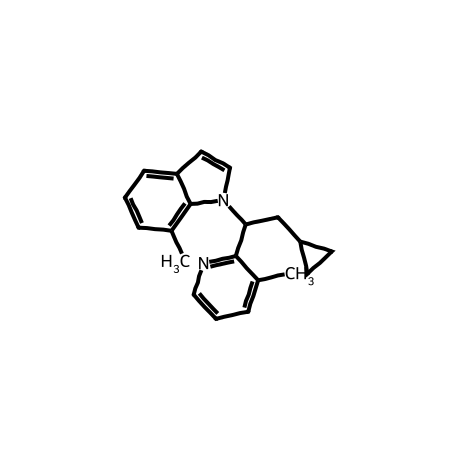 Cc1cccnc1C(CC1CC1)n1ccc2cccc(C)c21